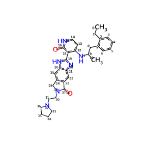 CCc1ccccc1CC(C)Nc1cc[nH]c(=O)c1-c1nc2cc3c(cc2[nH]1)CN(CCN1CCCC1)C3=O